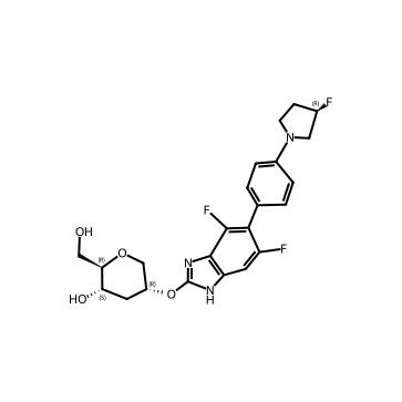 OC[C@H]1OC[C@H](Oc2nc3c(F)c(-c4ccc(N5CC[C@@H](F)C5)cc4)c(F)cc3[nH]2)C[C@@H]1O